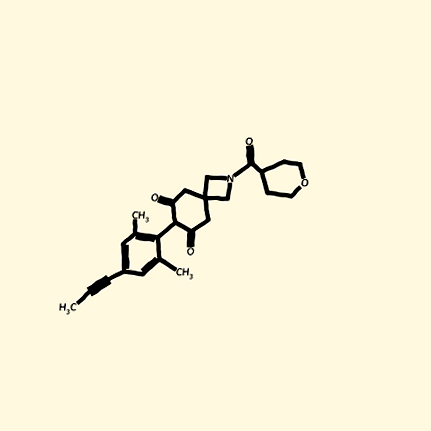 CC#Cc1cc(C)c(C2C(=O)CC3(CC2=O)CN(C(=O)C2CCOCC2)C3)c(C)c1